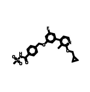 Cc1c(-c2cc(F)cc(OCc3ccc(C(=O)NS(C)(=O)=O)cc3)c2)ccnc1OCC1CC1